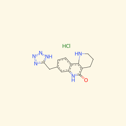 Cl.O=c1[nH]c2cc(Cc3nnn[nH]3)ccc2c2c1CCCN2